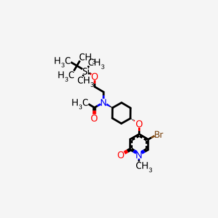 CC(=O)N(CCO[Si](C)(C)C(C)(C)C)[C@H]1CC[C@H](Oc2cc(=O)n(C)cc2Br)CC1